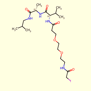 CC(C)CNC(=O)[C@H](C)NC(=O)[C@@H](NC(=O)CCOCCOCCNC(=O)CI)C(C)C